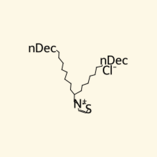 CCCCCCCCCCCCCCCCCCC(CCCCCCCCCCCCCCCCC)C[n+]1ccsc1.[Cl-]